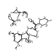 COc1cc(F)cc2c3c([nH]c12)CCN(C(=O)C1CCCCC1)C3.N#CC1(NC(=O)O)CC1